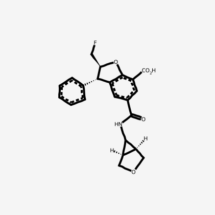 O=C(NC1[C@H]2COC[C@@H]12)c1cc(C(=O)O)c2c(c1)[C@H](c1ccccc1)[C@@H](CF)O2